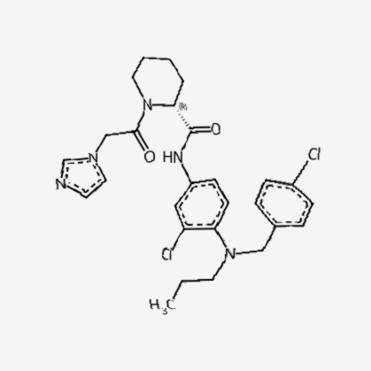 CCCN(Cc1ccc(Cl)cc1)c1ccc(NC(=O)[C@H]2CCCCN2C(=O)Cn2ccnc2)cc1Cl